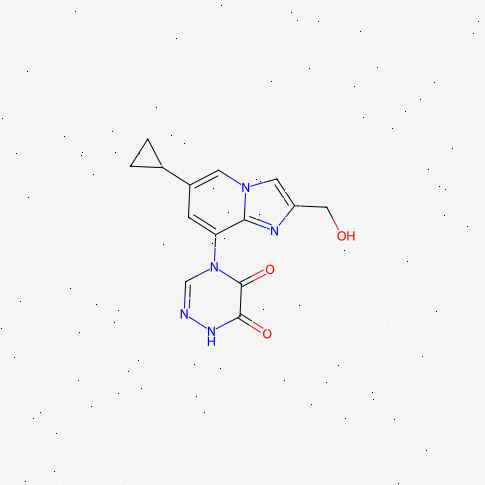 O=c1[nH]ncn(-c2cc(C3CC3)cn3cc(CO)nc23)c1=O